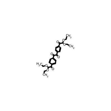 CCOC(OCC)C(=O)c1ccc(C(=O)C(=O)c2ccc(C(=O)C(OCC)OCC)cc2)cc1